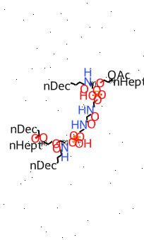 CCCCCCCCCCCCCC(=O)N[C@H](COCC[C@@H](CCCCCCC)OC(C)=O)COP(=O)(O)OCCNC(=O)CC(=O)NCCOP(=O)(O)OC[C@@H](COCC[C@@H](CCCCCCC)OC(=O)CCCCCCCCCCC)NC(=O)CCCCCCCCCCCCC